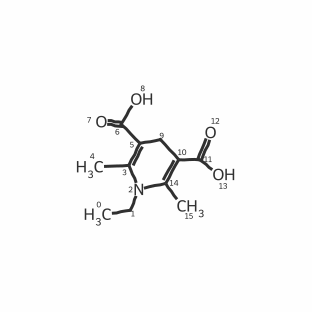 CCN1C(C)=C(C(=O)O)CC(C(=O)O)=C1C